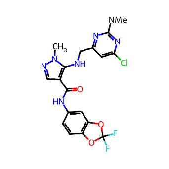 CNc1nc(Cl)cc(CNc2c(C(=O)Nc3ccc4c(c3)OC(F)(F)O4)cnn2C)n1